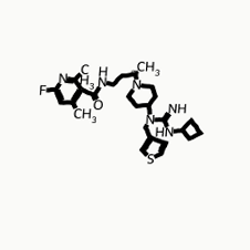 Cc1cc(F)nc(C)c1C(=O)NCC[C@@H](C)N1CCC(N(Cc2ccsc2)C(=N)NC2CCC2)CC1